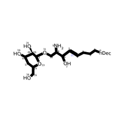 CCCCCCCCCCCCC/C=C/C(O)C(N)COC1OC(CO)CC(O)[C@H]1O